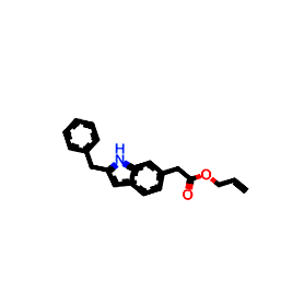 C=CCOC(=O)Cc1ccc2cc(Cc3ccccc3)[nH]c2c1